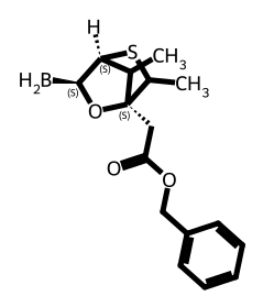 B[C@@H]1O[C@]2(CC(=O)OCc3ccccc3)C(C)S[C@H]1C2C